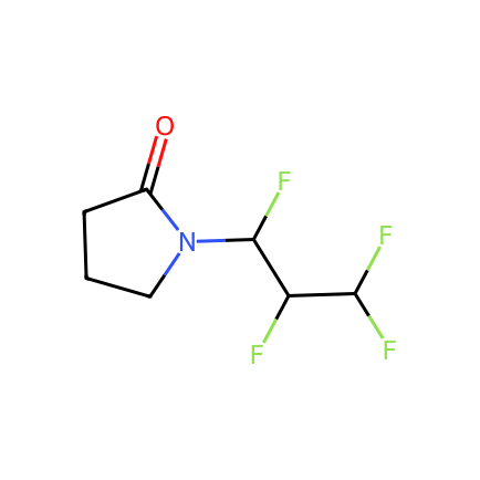 O=C1CCCN1C(F)C(F)C(F)F